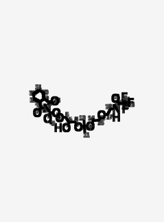 COC(OOCC(O)COC(C)(C)OCCOCCNC(=O)C(F)(F)F)N1C(=O)c2ccccc2C1=O